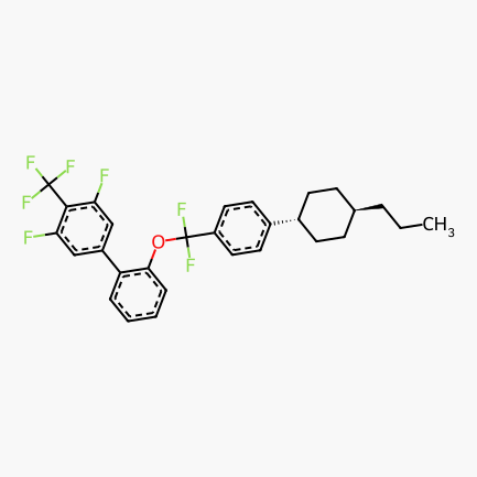 CCC[C@H]1CC[C@H](c2ccc(C(F)(F)Oc3ccccc3-c3cc(F)c(C(F)(F)F)c(F)c3)cc2)CC1